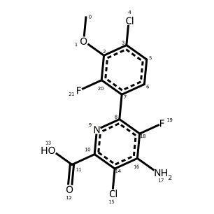 COc1c(Cl)ccc(-c2nc(C(=O)O)c(Cl)c(N)c2F)c1F